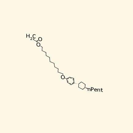 C=CC(=O)OCCCCCCCCCCCOc1ccc([C@H]2CC[C@H](CCCCC)CC2)cc1